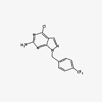 Nc1nc(Cl)c2cnn(Cc3ccc(C(F)(F)F)cc3)c2n1